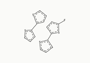 Fc1ccc(-c2cccs2)s1.c1csc(-c2cccs2)c1